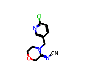 N#C/N=C1/COCCN1Cc1ccc(Cl)nc1